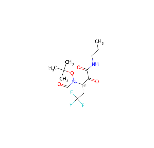 CCCNC(=O)C(=O)[C@H](CC(F)(F)F)N(C=O)OC(C)(C)C